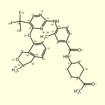 CC(=O)N1CCC(NC(=O)c2ccc(Nc3ncc(C(F)(F)F)c(Oc4cccc5c4CON(C)C5)n3)c(C)c2)CC1